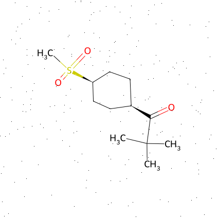 CC(C)(C)C(=O)[C@H]1CC[C@@H](S(C)(=O)=O)CC1